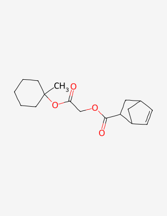 CC1(OC(=O)COC(=O)C2CC3C=CC2C3)CCCCC1